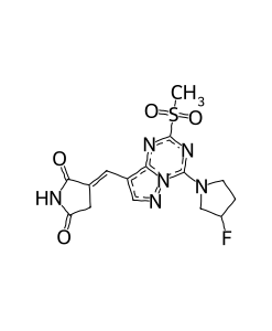 CS(=O)(=O)c1nc(N2CCC(F)C2)n2ncc(C=C3CC(=O)NC3=O)c2n1